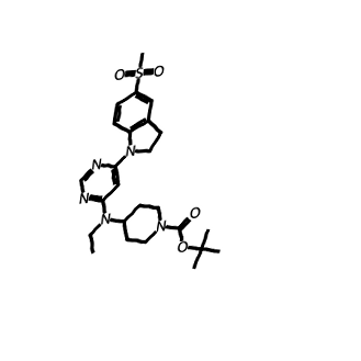 CCN(c1cc(N2CCc3cc(S(C)(=O)=O)ccc32)ncn1)C1CCN(C(=O)OC(C)(C)C)CC1